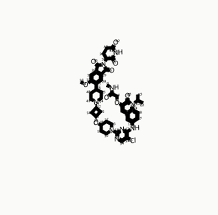 CNC(=O)COc1cc2cc(Nc3nc(N4CCC(O[C@H]5C[C@H](N6CCC(c7cc8c(cc7OC)C(=O)N(C7CCC(=O)NC7=O)C8=O)CC6)C5)CC4)ncc3Cl)ccc2n(C(C)C)c1=O